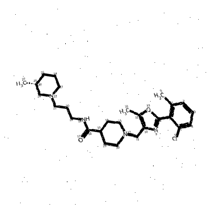 Cc1cccc(Cl)c1-c1nc(CN2CCC(C(=O)NCCCN3CCC[C@@H](C)C3)CC2)c(C)o1